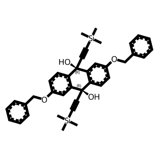 C[Si](C)(C)C#C[C@@]1(O)c2ccc(OCc3ccccc3)cc2[C@@](O)(C#C[Si](C)(C)C)c2ccc(OCc3ccccc3)cc21